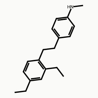 CCc1ccc(CCc2ccc(NC)cc2)c(CC)c1